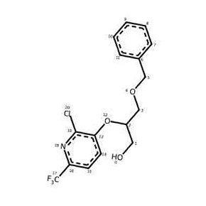 OCC(COCc1ccccc1)Oc1ccc(C(F)(F)F)nc1Cl